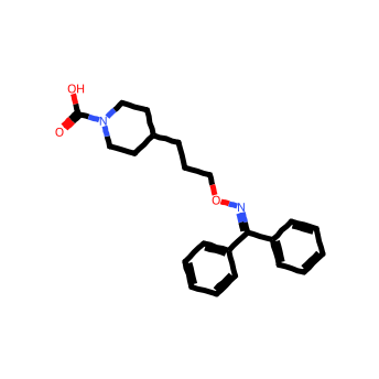 O=C(O)N1CCC(CCCON=C(c2ccccc2)c2ccccc2)CC1